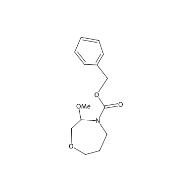 COC1COCCCN1C(=O)OCc1ccccc1